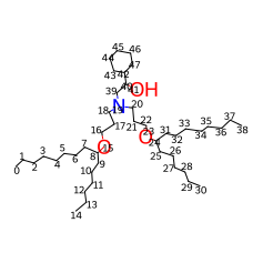 CCCCCCCCC(CCCCCC)OCCCN(CCCOC(CCCCCC)CCCCCCCC)CC(O)C1CCCCC1